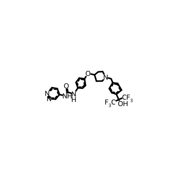 O=C(Nc1ccc(OC2CCN(Cc3ccc(C(O)(C(F)(F)F)C(F)(F)F)cc3)CC2)cc1)Nc1ccnnc1